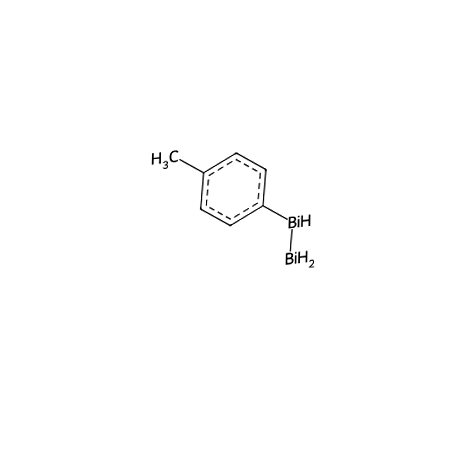 Cc1cc[c]([BiH][BiH2])cc1